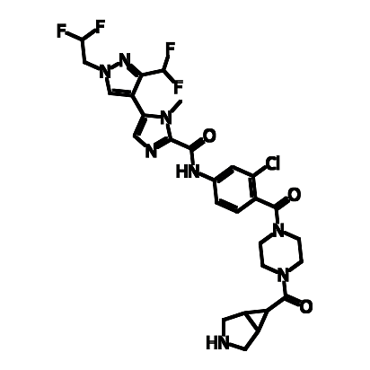 Cn1c(-c2cn(CC(F)F)nc2C(F)F)cnc1C(=O)Nc1ccc(C(=O)N2CCN(C(=O)C3C4CNCC43)CC2)c(Cl)c1